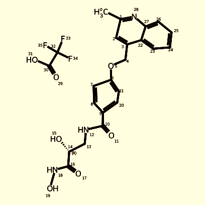 Cc1cc(COc2ccc(C(=O)NC[C@@H](O)C(=O)NO)cc2)c2ccccc2n1.O=C(O)C(F)(F)F